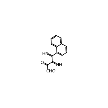 N=C(C(=N)c1cccc2ccccc12)C(=O)[C]=O